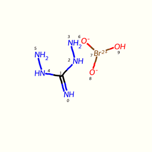 N=C(NN)NN.[O-][Br+2]([O-])O